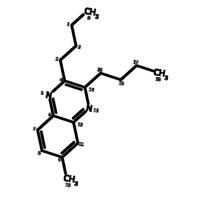 CCCCc1nc2ccc(C)cc2nc1CCCC